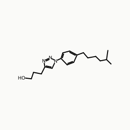 CC(C)CCCCc1ccc(-n2cc(CCCO)nn2)cc1